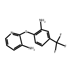 Nc1cc(C(F)(F)F)ccc1Sc1ncccc1N